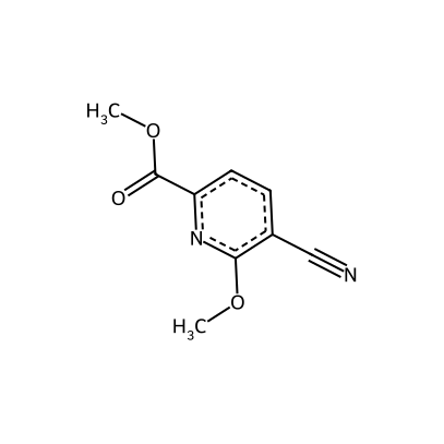 COC(=O)c1ccc(C#N)c(OC)n1